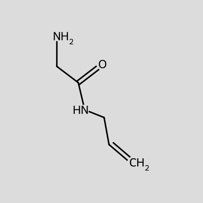 C=CCNC(=O)CN